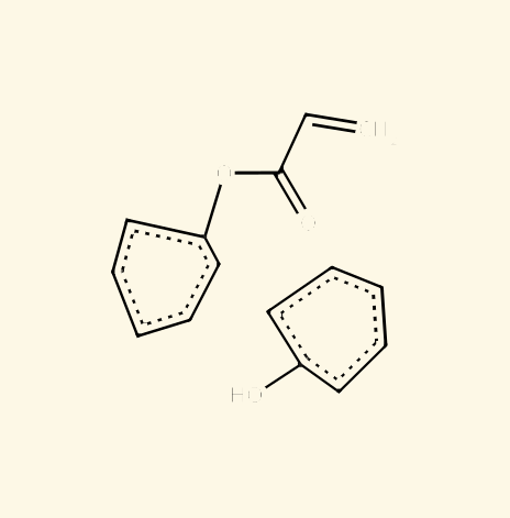 C=CC(=O)Oc1ccccc1.Oc1ccccc1